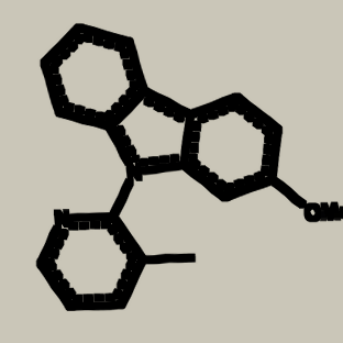 COc1ccc2c3ccccc3n(-c3ncccc3C)c2c1